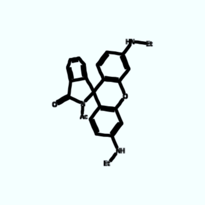 CCNc1ccc2c(c1)Oc1cc(NCC)ccc1C21c2ccccc2C(=O)N1C(C)=O